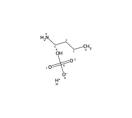 CCCCN.O=S(=O)([O-])O.[H+]